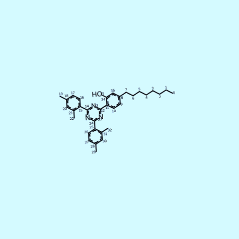 CCCCCCCCc1ccc(-c2nc(-c3ccc(C)cc3C)nc(-c3ccc(C)cc3C)n2)c(O)c1